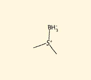 [BH3-][S+](C)C